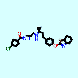 O=C(NCCCNC1(CCc2ccc(Oc3nc4ccccc4s3)cc2)CC1)c1ccc(Cl)cc1